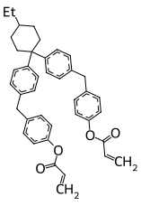 C=CC(=O)Oc1ccc(Cc2ccc(C3(c4ccc(Cc5ccc(OC(=O)C=C)cc5)cc4)CCC(CC)CC3)cc2)cc1